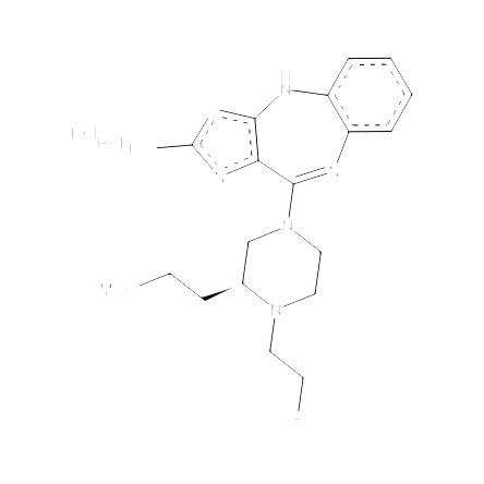 COCC[C@H]1CN(C2=Nc3ccccc3Nc3sc(C(F)(F)F)nc32)CCN1CCF.Cl.Cl